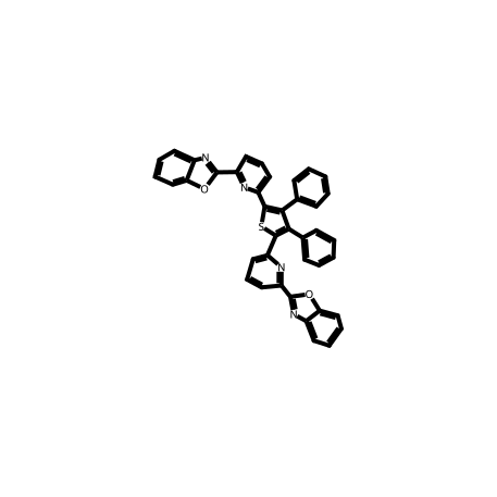 c1ccc(-c2c(-c3cccc(-c4nc5ccccc5o4)n3)sc(-c3cccc(-c4nc5ccccc5o4)n3)c2-c2ccccc2)cc1